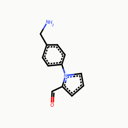 NCc1ccc(-n2cccc2C=O)cc1